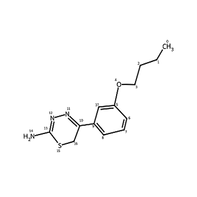 CCCCOc1cccc(C2=NN=C(N)SC2)c1